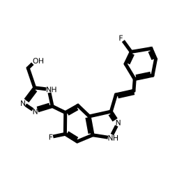 OCc1nnc(-c2cc3c(C=Cc4cccc(F)c4)n[nH]c3cc2F)[nH]1